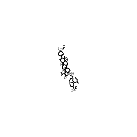 CC1CC[N+](CCN[C@@]23CC[C@]4(C)[C@H](CC[C@@H]5[C@@]6(C)CC=C(C7=CC[C@](CF)(OC=O)CC7)C(C)(C)[C@@H]6CC[C@]54C)C2=C(C(C)C)C(=O)C3)(CCN2CCC(S(C)(=O)=O)CC2)CC1